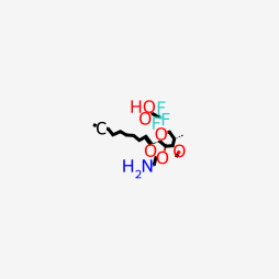 CCCCCCCCC=C[C@@H]1OC[C@H](C)[C@H](OC)[C@H]1OC(=O)CN.O=C(O)C(F)(F)F